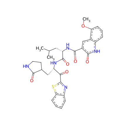 COc1cccc2[nH]c(=O)c(C(=O)N[C@@H](CC(C)C)C(=O)N[C@@H](CC3CCNC3=O)C(=O)c3nc4ccccc4s3)cc12